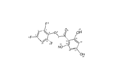 O=C(COc1c(F)cc(F)cc1F)c1c(O)cc(O)cc1O